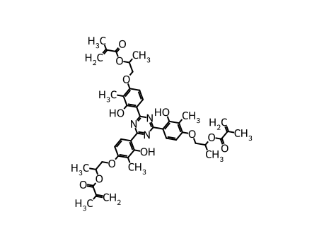 C=C(C)C(=O)OC(C)COc1ccc(-c2nc(-c3ccc(OCC(C)OC(=O)C(=C)C)c(C)c3O)nc(-c3ccc(OCC(C)OC(=O)C(=C)C)c(C)c3O)n2)c(O)c1C